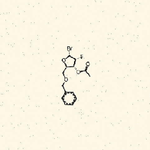 CC(=O)O[C@H]1[C@@H](F)[C@@H](Br)O[C@@H]1COCc1ccccc1